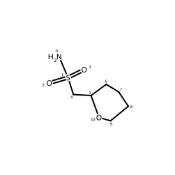 NS(=O)(=O)CC1CCCCO1